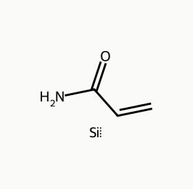 C=CC(N)=O.[Si]